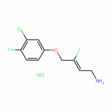 Cl.NCC=C(F)COc1ccc(F)c(Cl)c1